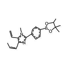 C=Cc1c(/C=C\C)nc(-c2ccc(B3OC(C)C(C)(C)O3)cc2)n1C